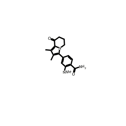 CNc1cc(-c2c(C)c(C)c3n2CCCC3=O)ccc1C(N)=O